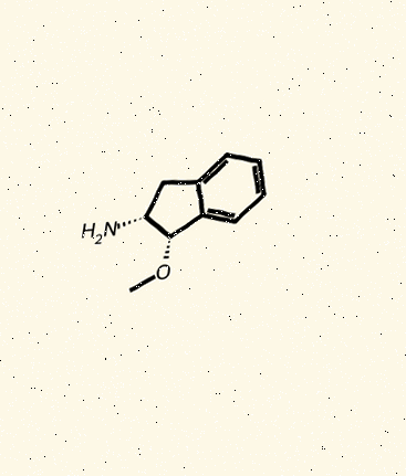 CO[C@H]1c2ccccc2C[C@H]1N